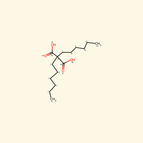 CCCCCCC(CCCCCC)(C(=O)O)C(=O)O